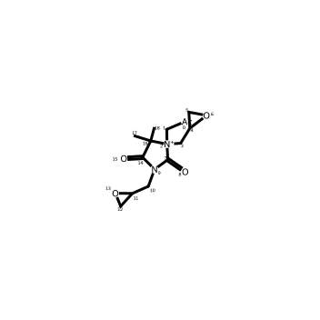 CC(=O)C[N+]1(CC2CO2)C(=O)N(CC2CO2)C(=O)C1(C)C